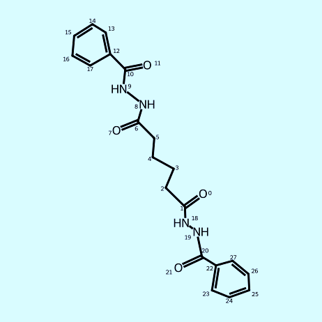 O=C(CCCCC(=O)NNC(=O)c1ccccc1)NNC(=O)c1ccccc1